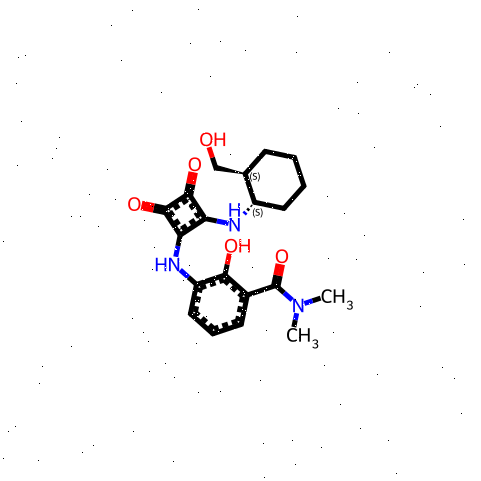 CN(C)C(=O)c1cccc(Nc2c(N[C@H]3CCCC[C@@H]3CO)c(=O)c2=O)c1O